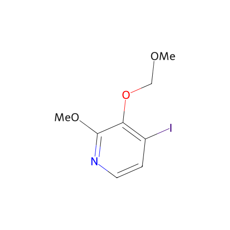 COCOc1c(I)ccnc1OC